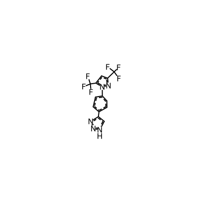 FC(F)(F)c1cc(C(F)(F)F)n(-c2ccc(-c3c[nH]nn3)cc2)n1